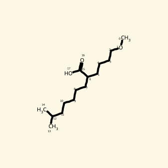 COCCCCC(CCCCCC(C)C)C(=O)O